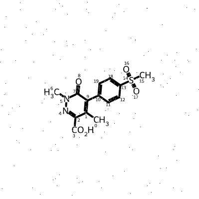 Cc1c(C(=O)O)nn(C)c(=O)c1-c1ccc(S(C)(=O)=O)cc1